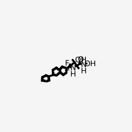 CC(NCc1ccc2cc(-c3ccccc3)ccc2c1)(C(=O)NO)C(C)(O)C(F)F